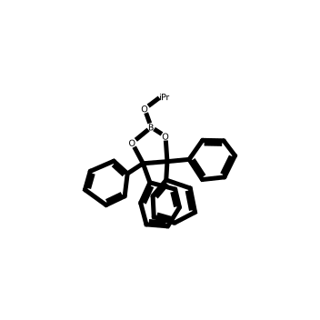 CC(C)OB1OC(c2ccccc2)(c2ccccc2)C(c2ccccc2)(c2ccccc2)O1